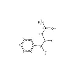 CCC(c1ccccc1)C(C)OC(N)=O